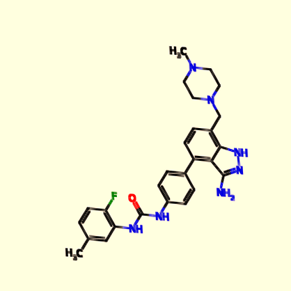 Cc1ccc(F)c(NC(=O)Nc2ccc(-c3ccc(CN4CCN(C)CC4)c4[nH]nc(N)c34)cc2)c1